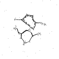 CC(C)c1ccc(S(=O)(=O)O)cc1.CC1CNCC(C)O1